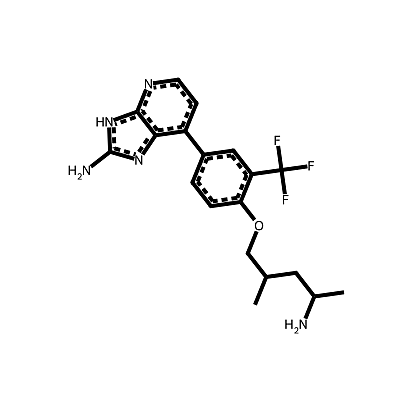 CC(N)CC(C)COc1ccc(-c2ccnc3[nH]c(N)nc23)cc1C(F)(F)F